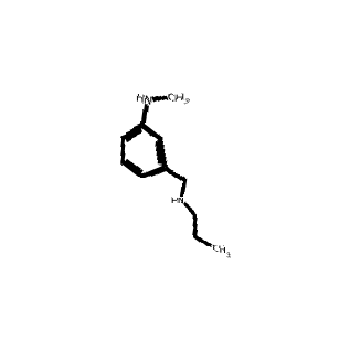 CCCNCc1cccc(NC)c1